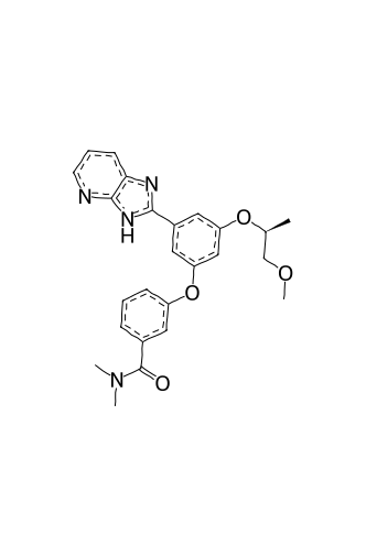 COC[C@H](C)Oc1cc(Oc2cccc(C(=O)N(C)C)c2)cc(-c2nc3cccnc3[nH]2)c1